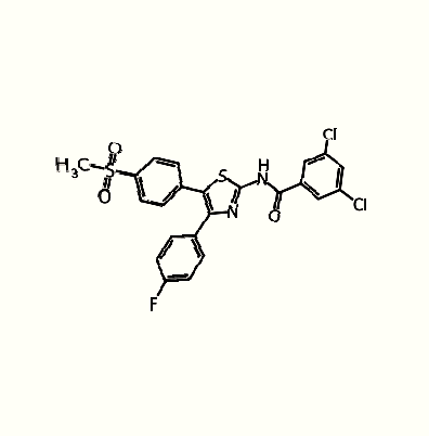 CS(=O)(=O)c1ccc(-c2sc(NC(=O)c3cc(Cl)cc(Cl)c3)nc2-c2ccc(F)cc2)cc1